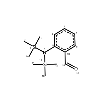 C[Si](C)(C)N(c1ccccc1C=O)[Si](C)(C)C